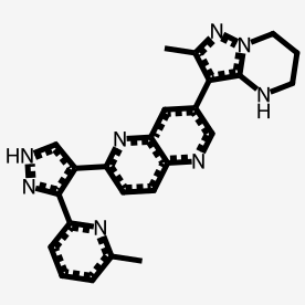 Cc1cccc(-c2n[nH]cc2-c2ccc3ncc(-c4c(C)nn5c4NCCC5)cc3n2)n1